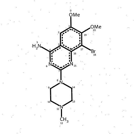 COc1cc2c(N)nc(N3CCN(C)CC3)nc2c(Br)c1OC